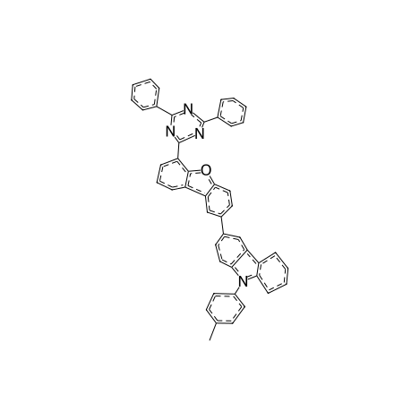 Cc1ccc(-n2c3ccccc3c3cc(-c4ccc5oc6c(-c7nc(-c8ccccc8)nc(-c8ccccc8)n7)cccc6c5c4)ccc32)cc1